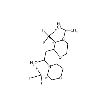 CC(C)N1CCOC(CC(C)N2CCOC[C@@H]2C(F)(F)F)[C@H]1C(F)(F)F